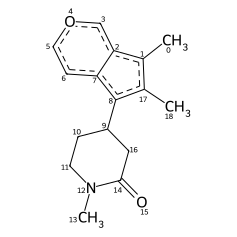 Cc1c2coccc-2c(C2CCN(C)C(=O)C2)c1C